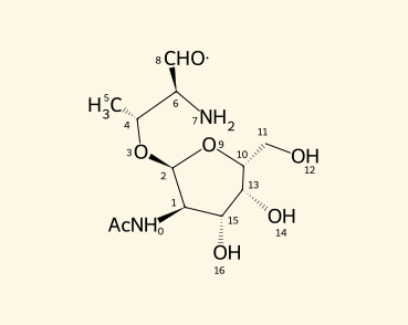 CC(=O)N[C@H]1[C@@H](O[C@H](C)[C@H](N)[C]=O)O[C@H](CO)[C@H](O)[C@@H]1O